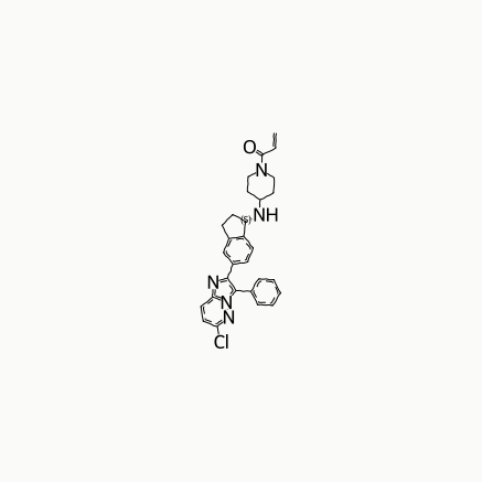 C=CC(=O)N1CCC(N[C@H]2CCc3cc(-c4nc5ccc(Cl)nn5c4-c4ccccc4)ccc32)CC1